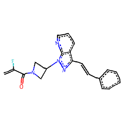 C=C(F)C(=O)N1CC(n2nc(/C=C/c3ccccc3)c3cccnc32)C1